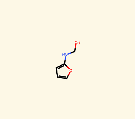 OCNc1ccco1